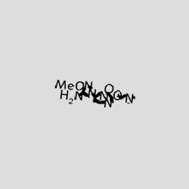 COC1=NCN(c2ccc3ncc(OCCN(C)C)c(=O)n3c2)C=C1N